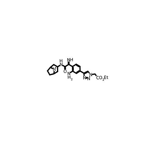 CCOC(=O)Cn1cc(-c2ccc(C(=N)C(=O)NC3CC4CCC(C3)N4C)c(N)c2)nn1